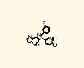 O=c1ccc(-n2c(-c3cccc(F)c3)nc3c2N=CN2CCN=C32)c[nH]1